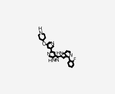 Fc1ccccc1-c1nccc2[nH]c(-c3n[nH]c4cnc(-c5cncc(OC6CCNCC6)c5)cc34)cc12